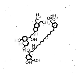 CCc1cc2c(cc1CC)CC(NCC(O)c1ccc(O)c3[nH]c(=O)ccc13)C2.NS(=O)(=O)Cc1cccc(CCCCOCCCCCCNCC(O)c2ccc(O)c(CO)c2)c1